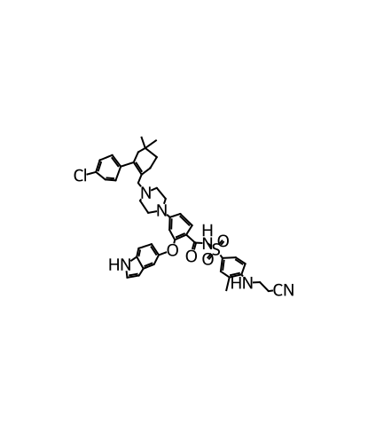 Cc1cc(S(=O)(=O)NC(=O)c2ccc(N3CCN(CC4=C(c5ccc(Cl)cc5)CC(C)(C)CC4)CC3)cc2Oc2ccc3[nH]ccc3c2)ccc1NCCC#N